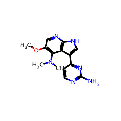 COc1cnc2[nH]cc(-c3ccnc(N)n3)c2c1N(C)C